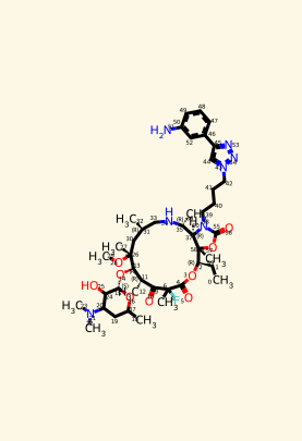 CC[C@H]1OC(=O)C(C)(F)C(=O)[C@H](C)[C@@H](O[C@@H]2OC(C)CC(N(C)C)C2O)[C@](C)(OC)C[C@@H](C)CN[C@H](C)[C@H]2N(CCCCn3cc(-c4cccc(N)c4)nn3)C(=O)O[C@]12C